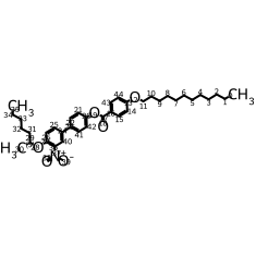 CCCCCCCCCCCCOc1ccc(C(=O)Oc2ccc(-c3ccc(O[C@@H](C)CCCCC)c([N+](=O)[O-])c3)cc2)cc1